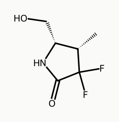 C[C@H]1[C@@H](CO)NC(=O)C1(F)F